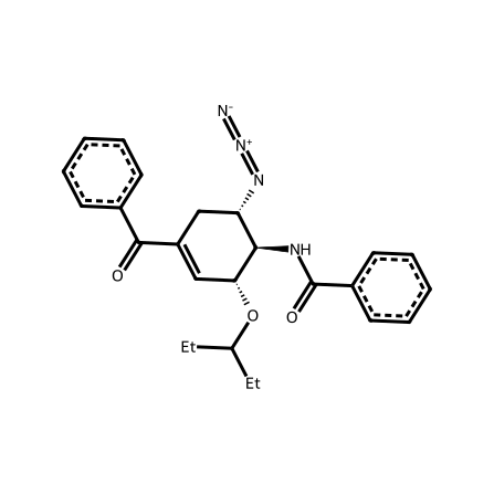 CCC(CC)O[C@@H]1C=C(C(=O)c2ccccc2)C[C@H](N=[N+]=[N-])[C@H]1NC(=O)c1ccccc1